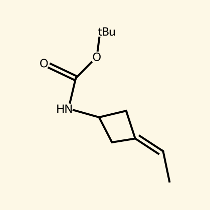 CC=C1CC(NC(=O)OC(C)(C)C)C1